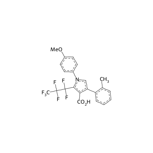 COc1ccc(-n2cc(-c3ccccc3C)c(C(=O)O)c2C(F)(F)C(F)(F)C(F)(F)F)cc1